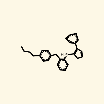 CCCCc1ccc(Cc2ccccc2[SiH2]C2=C(c3ccccc3)C=CC2)cc1